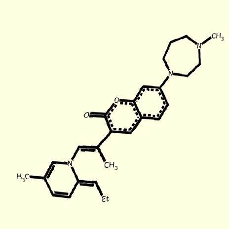 CC/C=C1\C=CC(C)=CN1/C=C(\C)c1cc2ccc(N3CCCN(C)CC3)cc2oc1=O